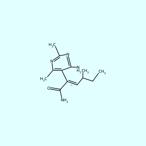 CCC(C)/C=C(/C(N)=O)c1c(C)nc(C)nc1N